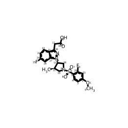 COc1ccc(S(=O)(=O)N2C[C@@H](C)[C@@H](n3nc(CC(=O)O)c4ccc(F)cc43)C2)c(F)c1